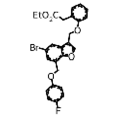 CCOC(=O)Cc1ccccc1OCc1coc2c(COc3ccc(F)cc3)cc(Br)cc12